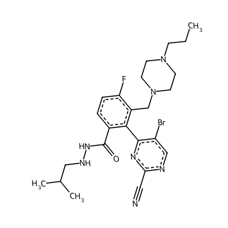 CCCN1CCN(Cc2c(F)ccc(C(=O)NNCC(C)C)c2-c2nc(C#N)ncc2Br)CC1